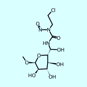 CO[C@H]1O[C@H](C(O)NC(=O)N(CCCl)N=O)[C@@H](O)[C@H](O)[C@H]1O